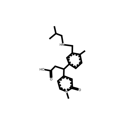 Cc1ccc(C(CC(=O)O)c2ccn(C)c(=O)c2)cc1CNCC(C)C